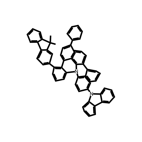 CC1(C)c2ccccc2-c2ccc(-c3cccc(N(c4ccc(-n5c6ccccc6c6ccccc65)cc4)c4ccccc4-c4ccccc4)c3-c3ccc(-c4ccccc4)cc3)cc21